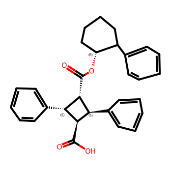 O=C(O)[C@H]1[C@H](c2ccccc2)[C@H](C(=O)O[C@@H]2CCCCC2c2ccccc2)[C@H]1c1ccccc1